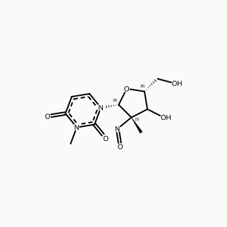 Cn1c(=O)ccn([C@@H]2O[C@H](CO)C(O)[C@]2(C)N=O)c1=O